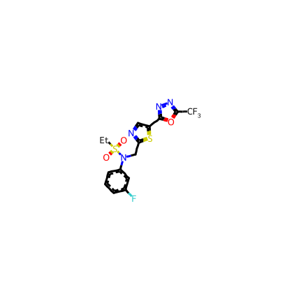 CCS(=O)(=O)N(Cc1ncc(-c2nnc(C(F)(F)F)o2)s1)c1cccc(F)c1